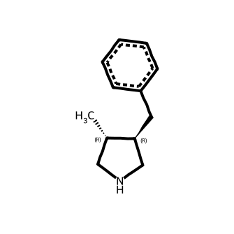 C[C@H]1CNC[C@@H]1Cc1ccccc1